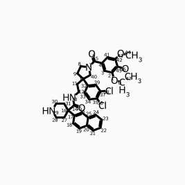 COc1cc(C(=O)N2CCC(CCNC(=O)C3(c4ccc5ccccc5c4)CCNCC3)(c3ccc(Cl)c(Cl)c3)C2)cc(OC)c1OC